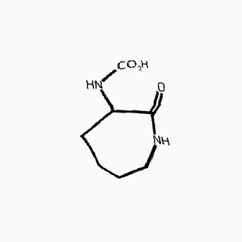 O=C(O)NC1CCCCNC1=O